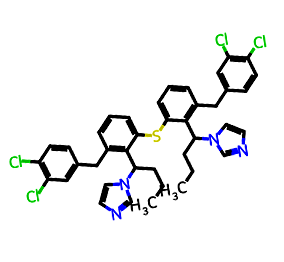 CCCC(c1c(Cc2ccc(Cl)c(Cl)c2)cccc1Sc1cccc(Cc2ccc(Cl)c(Cl)c2)c1C(CCC)n1ccnc1)n1ccnc1